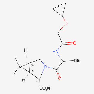 CC(C)(C)C(NC(=O)COC1CC1)C(=O)N1C[C@H]2[C@@H]([C@H]1C(=O)O)C2(C)C